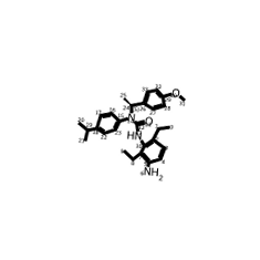 CCc1ccc(N)c(CC)c1NC(=O)N(c1ccc(C(C)C)cc1)[C@@H](C)c1ccc(OC)cc1